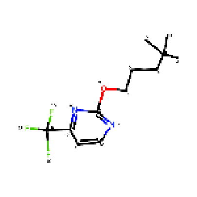 CC(C)(C)CCCOc1nccc(C(F)(F)F)n1